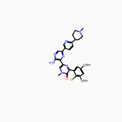 COc1cc(OC)c(Cl)c(-c2nc(-c3nc(-c4ccc(C5CCN(C)CC5)nc4)cnc3N)cn(C)c2=O)c1